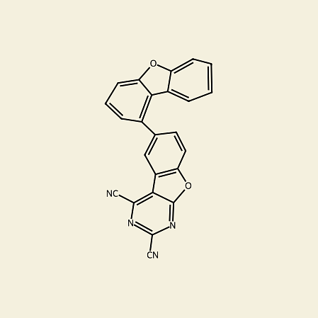 N#Cc1nc(C#N)c2c(n1)oc1ccc(-c3cccc4oc5ccccc5c34)cc12